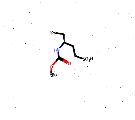 CC(C)C[C@@H](CCS(=O)(=O)O)NC(=O)OC(C)(C)C